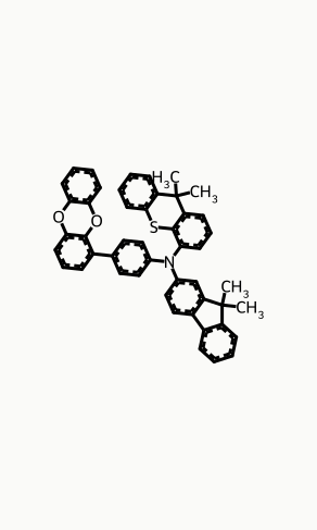 CC1(C)c2ccccc2-c2ccc(N(c3ccc(-c4cccc5c4Oc4ccccc4O5)cc3)c3cccc4c3Sc3ccccc3C4(C)C)cc21